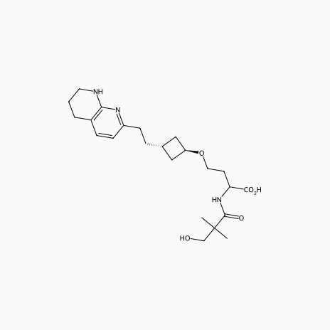 CC(C)(CO)C(=O)NC(CCO[C@H]1C[C@H](CCc2ccc3c(n2)NCCC3)C1)C(=O)O